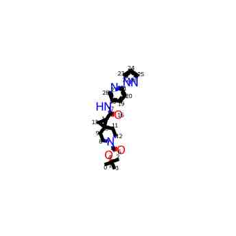 CC(C)(C)OC(=O)N1CCC2(CC1)CC2C(=O)Nc1ccc(-n2cccn2)nc1